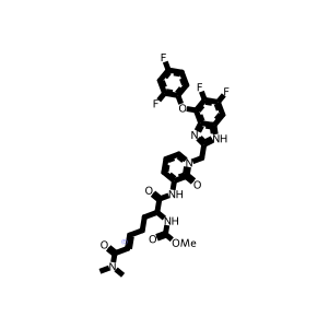 COC(=O)NC(CC/C=C/C(=O)N(C)C)C(=O)Nc1cccn(Cc2nc3c(Oc4ccc(F)cc4F)c(F)c(F)cc3[nH]2)c1=O